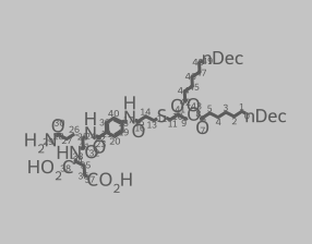 CCCCCCCCCCCCCCCC(=O)OCC(CSCCC(=O)Nc1ccc(C(=O)N[C@@H](CCC(N)=O)C(=O)N[C@@H](CCC(=O)O)C(=O)O)cc1)OC(=O)CCCCCCCCCCCCCCC